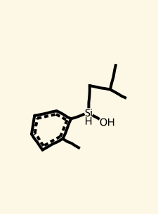 Cc1ccccc1[SiH](O)CC(C)C